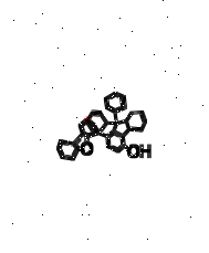 Oc1ccc(-c2cccc3c2oc2ccccc23)c2c1C1=CC=CCC1C2(c1c#cccc1)C1C#CC=CC1